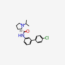 CC(C)N1CCC[C@H]1C(=O)Nc1cccc(-c2ccc(Cl)cc2)c1